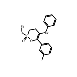 CCOP1(=O)CCC([Se]c2ccccc2)=C(c2cccc(F)c2)O1